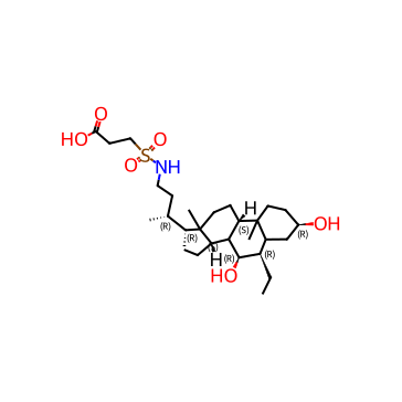 CC[C@@H]1C2C[C@H](O)CCC2(C)[C@H]2CCC3(C)[C@@H]([C@H](C)CCNS(=O)(=O)CCC(=O)O)CC[C@H]3C2[C@@H]1O